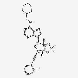 CC1(C)O[C@@H]2[C@H](O1)[C@@H](C#Cc1ccccc1F)O[C@H]2n1cnc2c(NCC3CCCCC3)ncnc21